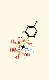 Cc1ccc(S(=O)(=O)C(N)(P(=O)(O)O)P(=O)(O)O)cc1